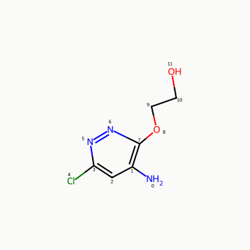 Nc1cc(Cl)nnc1OCCO